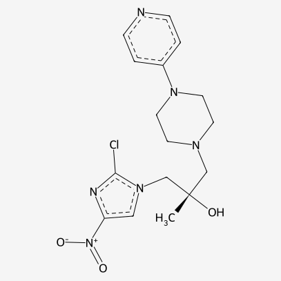 C[C@](O)(CN1CCN(c2ccncc2)CC1)Cn1cc([N+](=O)[O-])nc1Cl